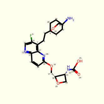 NC12CCC(CCc3c(F)cnc4ccc(OC[C@H]5OC[C@H]5NC(=O)O)nc34)(CC1)OC2